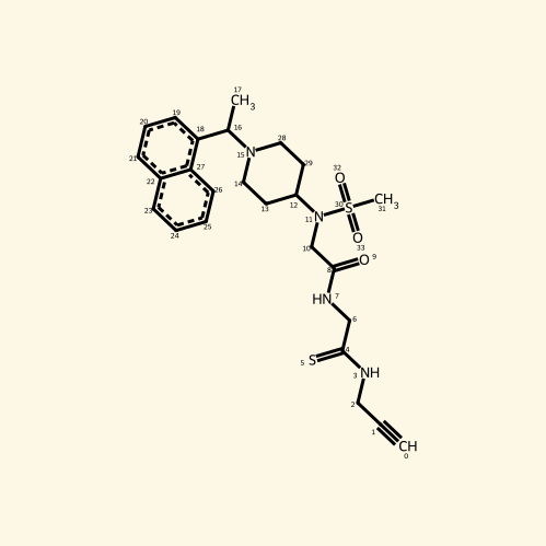 C#CCNC(=S)CNC(=O)CN(C1CCN(C(C)c2cccc3ccccc23)CC1)S(C)(=O)=O